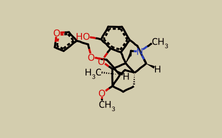 COC12CC[C@@]3(C[C@]1(C)COCc1ccoc1)[C@H]1Cc4ccc(O)c5c4[C@@]3(CCN1C)[C@H]2O5